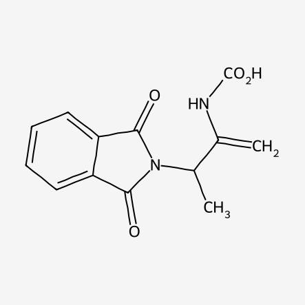 C=C(NC(=O)O)C(C)N1C(=O)c2ccccc2C1=O